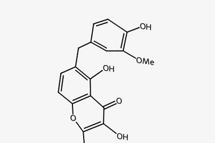 COc1cc(Cc2ccc3oc(O)c(O)c(=O)c3c2O)ccc1O